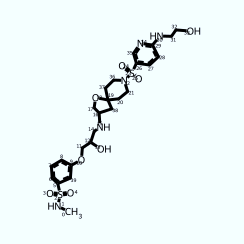 CNS(=O)(=O)c1cccc(OCC(O)CNC2COC3(CCN(S(=O)(=O)c4ccc(NCCO)nc4)CC3)C2)c1